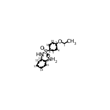 CCOc1ccc(S(=O)(=O)Nc2ccccc2N)cc1